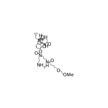 COCCOCCCCC(=O)NCCCN(CCCN)C(=O)Oc1ccc2c3c1O[C@H]1C(=O)CC[C@@]4(O)[C@@H](C2)N(CC2CC2)CC[C@]314